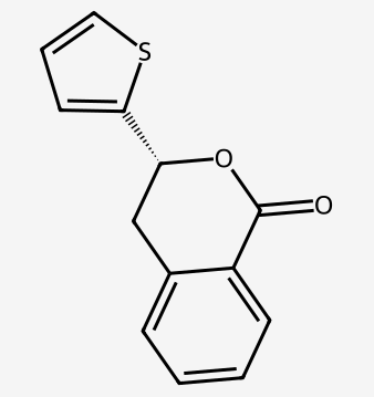 O=C1O[C@@H](c2cccs2)Cc2ccccc21